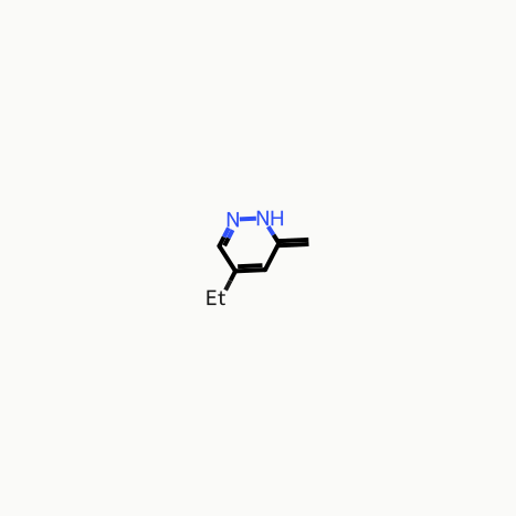 C=C1C=C(CC)C=NN1